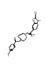 O=C(CC1CCN(CC(=O)c2ccc3[nH]c(=O)oc3c2)CC1)c1ccc(F)cc1